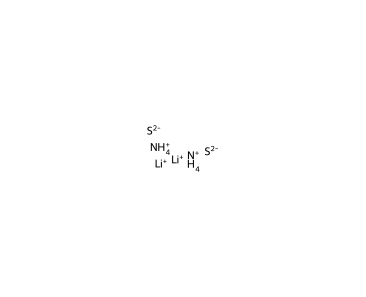 [Li+].[Li+].[NH4+].[NH4+].[S-2].[S-2]